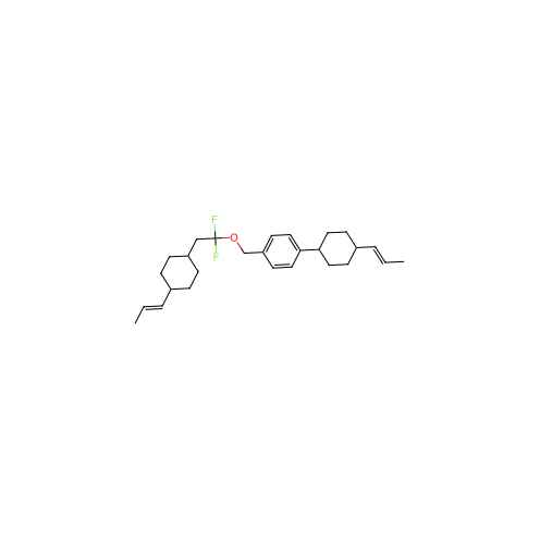 CC=CC1CCC(CC(F)(F)OCc2ccc(C3CCC(C=CC)CC3)cc2)CC1